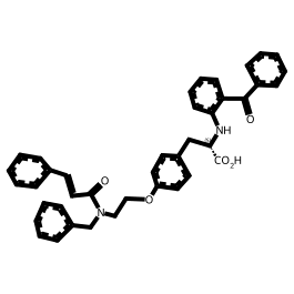 O=C(c1ccccc1)c1ccccc1N[C@@H](Cc1ccc(OCCN(Cc2ccccc2)C(=O)C=Cc2ccccc2)cc1)C(=O)O